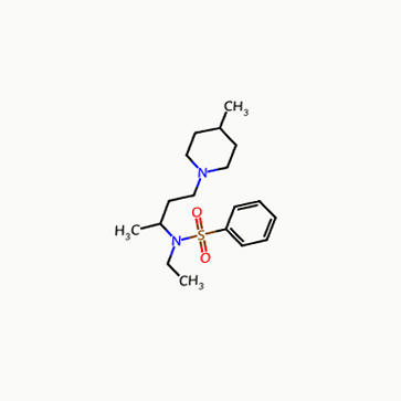 CCN(C(C)CCN1CCC(C)CC1)S(=O)(=O)c1ccccc1